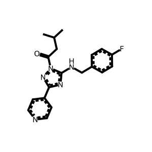 CC(C)CC(=O)n1nc(-c2ccncc2)nc1NCc1ccc(F)cc1